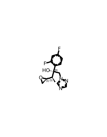 C[C@@H]([C@H]1CO1)[C@](O)(Cn1cncn1)c1ccc(F)cc1F